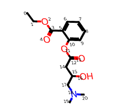 CCOC(=O)c1ccccc1OC(=O)CC(O)CN(C)C